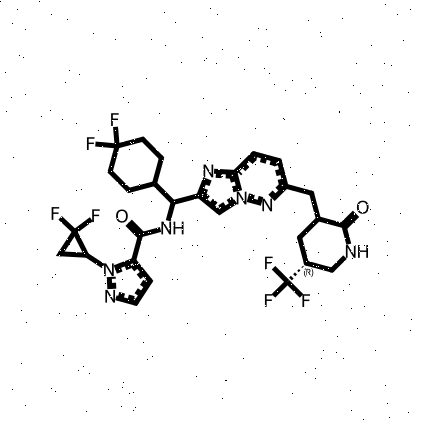 O=C(NC(c1cn2nc(CC3C[C@@H](C(F)(F)F)CNC3=O)ccc2n1)C1CCC(F)(F)CC1)c1ccnn1C1CC1(F)F